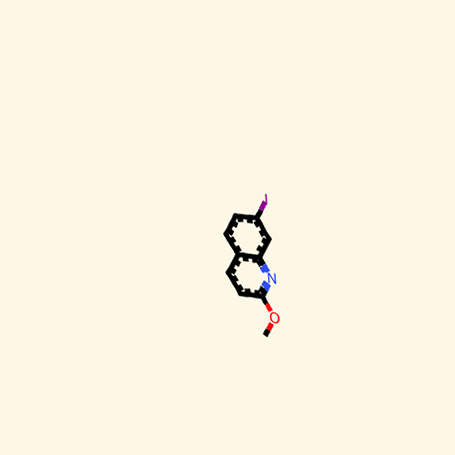 COc1ccc2ccc(I)cc2n1